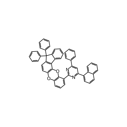 c1ccc(-c2cc(-c3cccc4ccccc34)nc(-c3cccc4c3Oc3c(ccc5c3-c3ccccc3C5(c3ccccc3)c3ccccc3)O4)n2)cc1